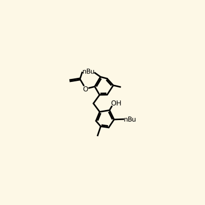 C=C(C)Oc1c(CCCC)cc(C)cc1Cc1cc(C)cc(CCCC)c1O